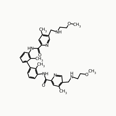 COCCNCc1cnc(C(=O)Nc2cccc(-c3cccc(NC(=O)c4cc(C)c(CNCCOC)cn4)c3C)c2C)cc1C